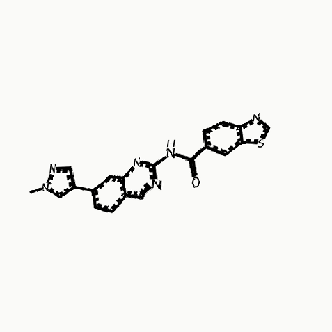 Cn1cc(-c2ccc3cnc(NC(=O)c4ccc5ncsc5c4)nc3c2)cn1